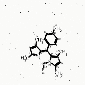 CC1=CC(C)=N/C1=C(/c1ccc(N)cc1)c1c(C)cc(C)n1BF